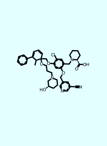 CC1C(c2ccccc2)=CC=CC1(COc1cc(OCc2cncc(C#N)c2)c(CN2CCCC[C@H]2C(=O)O)cc1Cl)OCCCN1CCC[C@@H](O)C1